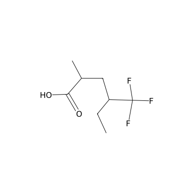 CCC(CC(C)C(=O)O)C(F)(F)F